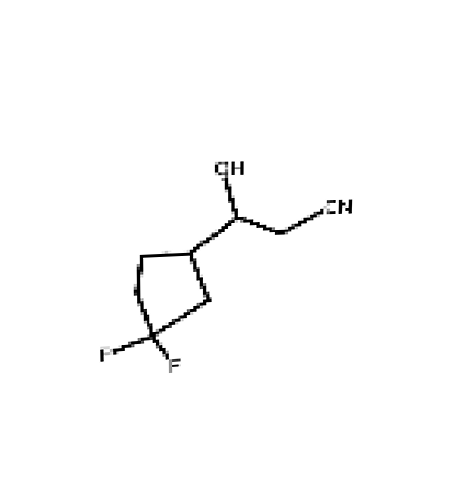 N#CCC(O)C1CCC(F)(F)C1